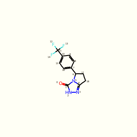 O=c1[nH]nc2n1C(c1ccc(C(F)(F)F)cc1)CC2